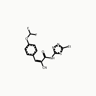 CCc1nnc(NC(=O)/C(C#N)=C\c2ccc(OC(F)F)cc2)s1